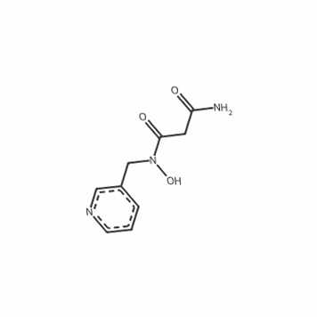 NC(=O)CC(=O)N(O)Cc1cccnc1